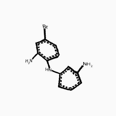 Nc1cccc(Nc2ccc(Br)cc2N)c1